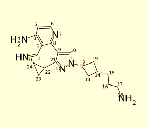 N=Cc1c(N)ccnc1-c1cn([C@H]2C[C@@H](CCCN)C2)nc1C1CC1